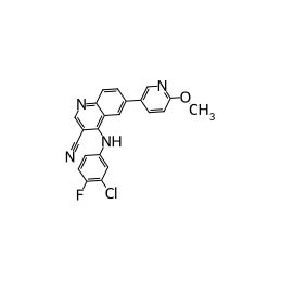 COc1ccc(-c2ccc3ncc(C#N)c(Nc4ccc(F)c(Cl)c4)c3c2)cn1